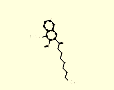 CCCCCCCCCCCCCCCCCC(=O)c1cc2ccccc2c(C(=O)O)c1I=O